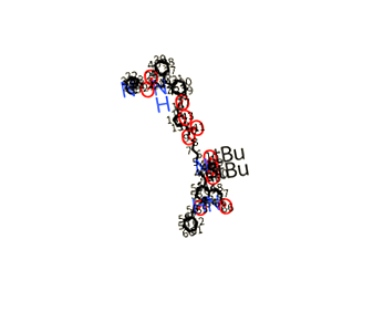 CC(C)(C)OC(=O)N(CCCCOC(=O)c1ccc(COc2cccc([C@@H](NC(=O)OC3CN4CCC3CC4)c3ccccc3)c2)o1)CC(O[Si](C)(C)C(C)(C)C)c1ccc(OCc2ccccc2)c2[nH]c(=O)ccc12